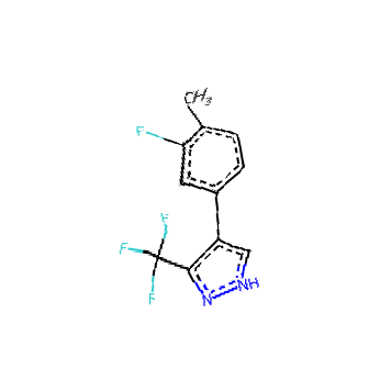 Cc1ccc(-c2c[nH]nc2C(F)(F)F)cc1F